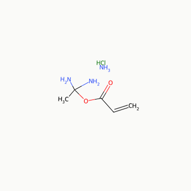 C=CC(=O)OC(C)(N)N.Cl.N